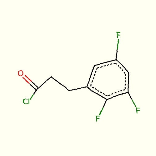 O=C(Cl)CCc1cc(F)cc(F)c1F